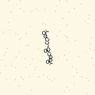 C=C(C)C(=O)COc1ccc2cc(/C=C/OC(=O)c3ccc(OCOC(=O)C(=C)C)cc3)ccc2c1